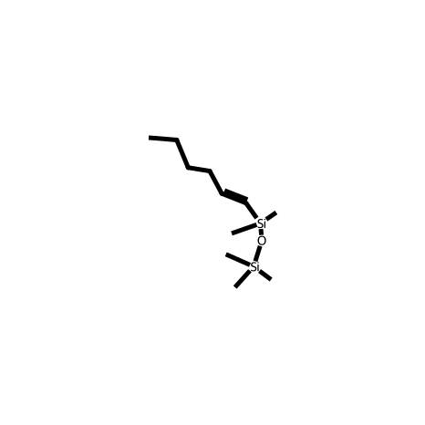 CCCCC=C[Si](C)(C)O[Si](C)(C)C